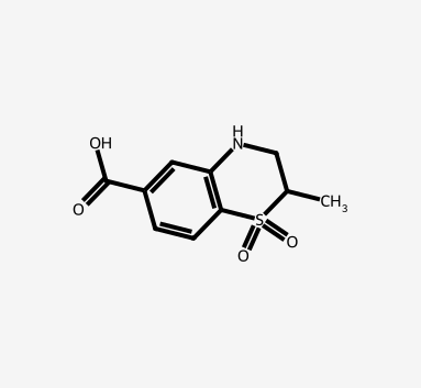 CC1CNc2cc(C(=O)O)ccc2S1(=O)=O